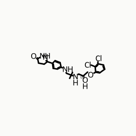 CC(C)(CNc1ccc(C2=NNC(=O)CC2)cc1)NC[C@H](O)COc1cccc(Cl)c1Cl